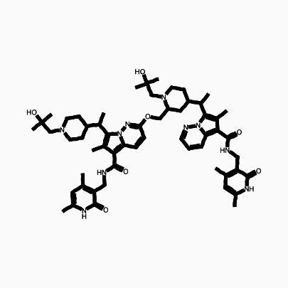 Cc1cc(C)c(CNC(=O)c2c(C)c(C(C)C3CCN(CC(C)(C)O)C(COc4ccc5c(C(=O)NCc6c(C)cc(C)[nH]c6=O)c(C)c(C(C)C6CCN(CC(C)(C)O)CC6)n5n4)C3)n3ncccc23)c(=O)[nH]1